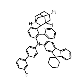 Fc1cccc(-c2ccc(N(c3ccc4c(c3)C3(CCCCC3)c3ccccc3-4)c3cccc4c3-c3ccccc3[C@]43[C@@H]4CC5C[C@@H](C4)C[C@@H]3C5)cc2)c1